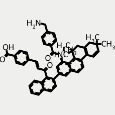 CN(C(=O)c1ccc(CN)cc1)c1cc(-c2ccc3ccccc3c2C(=O)C=Cc2ccc(C(=O)O)cc2)cc2ccc3c(c12)C(C)(C)CC1=C3C=CC(C)(C)C1